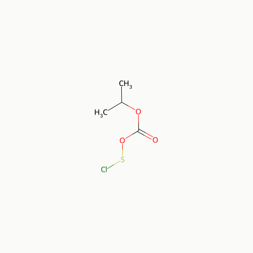 CC(C)OC(=O)OSCl